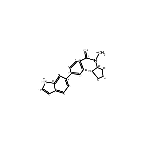 CN(C(=O)c1ccc(-c2ccc3cc[nH]c3c2)cc1)C1CCCC1